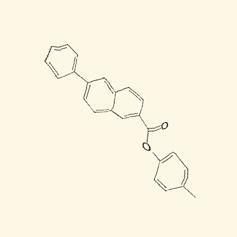 Cc1ccc(OC(=O)c2ccc3cc(-c4ccccc4)ccc3c2)cc1